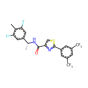 Cc1c(F)cc([C@@H](C)NC(=O)c2csc(-c3cc(C(F)(F)F)cc(C(F)(F)F)c3)n2)cc1F